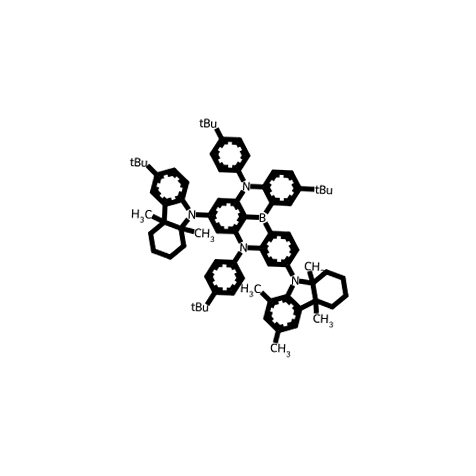 Cc1cc(C)c2c(c1)C1(C)CCCCC1(C)N2c1ccc2c(c1)N(c1ccc(C(C)(C)C)cc1)c1cc(N3c4ccc(C(C)(C)C)cc4C4(C)CCCCC34C)cc3c1B2c1cc(C(C)(C)C)ccc1N3c1ccc(C(C)(C)C)cc1